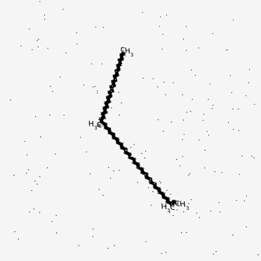 CCCCCCCCCCCCCCCCCCCCCCCCCCCC(C)CCCCCCCCCCCCCCCCCCCCCCCCCCCCCCCCC(C)CC